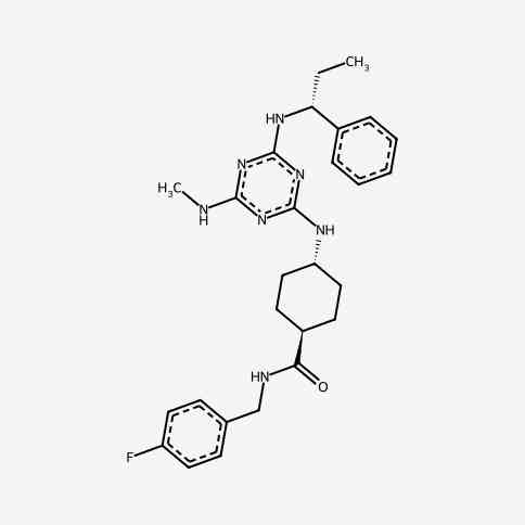 CC[C@@H](Nc1nc(NC)nc(N[C@H]2CC[C@H](C(=O)NCc3ccc(F)cc3)CC2)n1)c1ccccc1